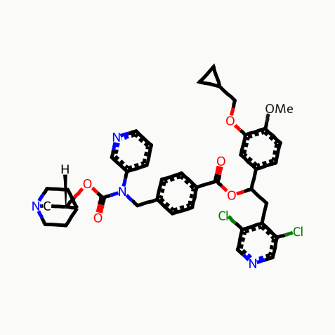 COc1ccc(C(Cc2c(Cl)cncc2Cl)OC(=O)c2ccc(CN(C(=O)O[C@H]3CN4CCC3CC4)c3cccnc3)cc2)cc1OCC1CC1